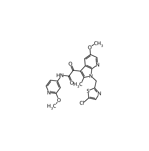 COc1cnc2c(c1)c(C(=O)C(=O)Nc1ccnc(OC)c1)c(C)n2Cc1ncc(Cl)s1